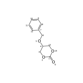 O=C1OCC(OCc2ccccc2)CO1